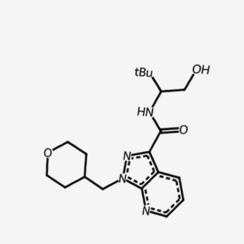 CC(C)(C)C(CO)NC(=O)c1nn(CC2CCOCC2)c2ncccc12